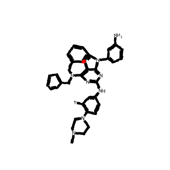 CN1CCN(c2ccc(Nc3nc(N(Cc4ccccc4)Cc4ccccc4)c4ncn(-c5cccc(N)c5)c4n3)cc2F)CC1